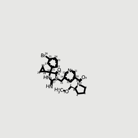 COC[C@@H]1CCCN1C(=O)c1cncc(CN2C(=N)NC(c3cccc(Br)c3)(C3CC3)C2=O)c1